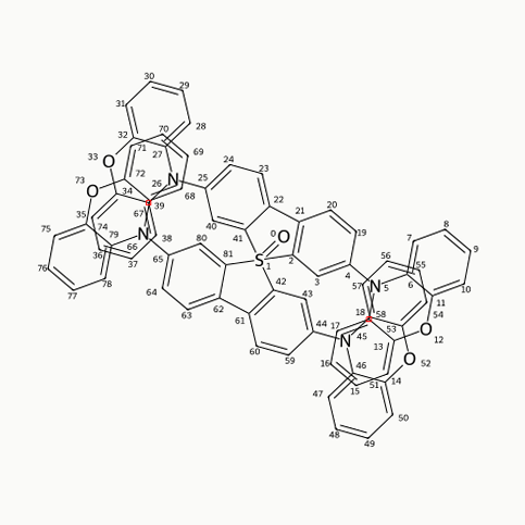 O=S12(c3cc(N4c5ccccc5Oc5ccccc54)ccc3-c3ccc(N4c5ccccc5Oc5ccccc54)cc31)c1cc(N3c4ccccc4Oc4ccccc43)ccc1-c1ccc(N3c4ccccc4Oc4ccccc43)cc12